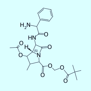 CC(=O)OC1C(C)C(C(=O)OCOC(=O)C(C)(C)C)N2C(=O)C(NC(=O)C(N)c3ccccc3)[C@@H]12